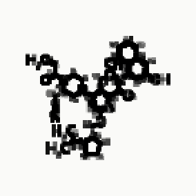 C=CC(=O)N1CCN(c2nc(OC[C@@H]3CCCN3C(C)C)nc(C(=O)Nc3cc(O)cc4ccccc34)c2COC)C[C@@H]1CC#N